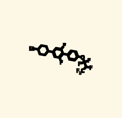 CCC1CCC(c2cc(F)c(-c3ccc(OC(F)(F)C(F)C(F)(F)F)cc3)c(F)c2)CC1